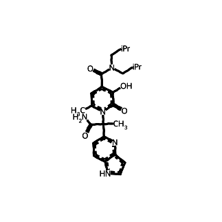 Cc1cc(C(=O)N(CC(C)C)CC(C)C)c(O)c(=O)n1C(C)(C(N)=O)c1ccc2[nH]ccc2n1